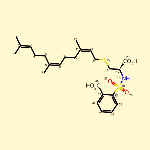 CC(C)=CCCC(C)=CCCC(C)=CCSC[C@H](NS(=O)(=O)c1ccccc1C(=O)O)C(=O)O